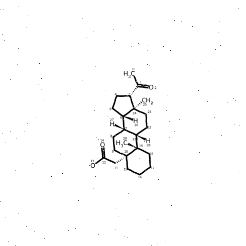 CC(=O)[C@H]1CC[C@H]2[C@H]3CC[C@]4(CC([O])=O)CCCC[C@@]4(C)[C@H]3CC[C@]12C